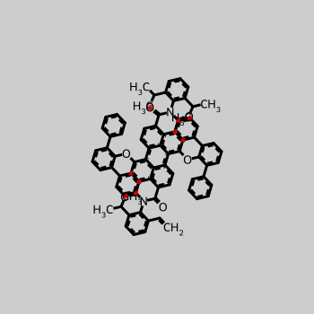 C=Cc1cccc(C(C)C)c1N1C(=O)c2ccc3c4c(Oc5c(-c6ccccc6)cccc5-c5ccccc5)cc5c6c(ccc(c7c(Oc8c(-c9ccccc9)cccc8-c8ccccc8)cc(c2c37)C1=O)c64)C(=O)N(c1c(C(C)C)cccc1C(C)C)C5=O